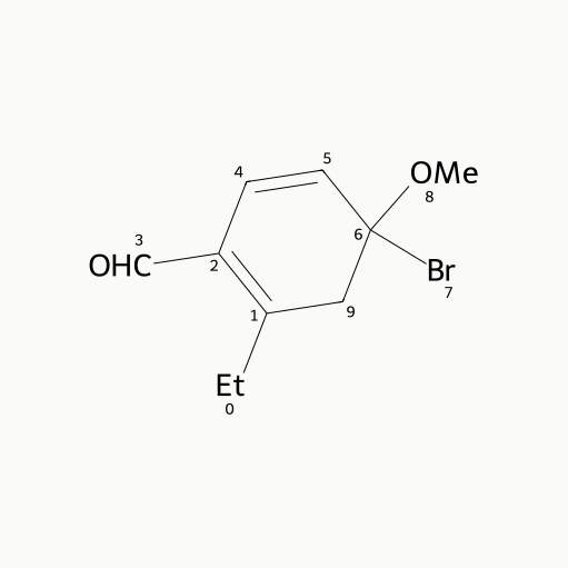 CCC1=C(C=O)C=CC(Br)(OC)C1